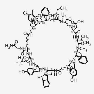 CCCC[C@H]1C(=O)N(C)C(C=O)CN[C@@H](CC(=O)O)C(=O)N[C@@H](C(C)C)C(=O)N(C)[C@@H](Cc2ccccc2)C(=O)N[C@@H](Cc2ccc(O)cc2)C(=O)N(C)CC(=O)N[C@@H](Cc2c[nH]c3ccccc23)C(=O)N[C@@H](Cc2ccc(O)cc2)C(=O)N[C@@H](CC(C)C)C(=O)N[C@H](C(=O)NCC(N)=O)CSCC(=O)N[C@@H](Cc2cc(Cl)c(F)c(Cl)c2)C(=O)N(C)[C@@H](Cc2ccccc2)C(=O)N1C